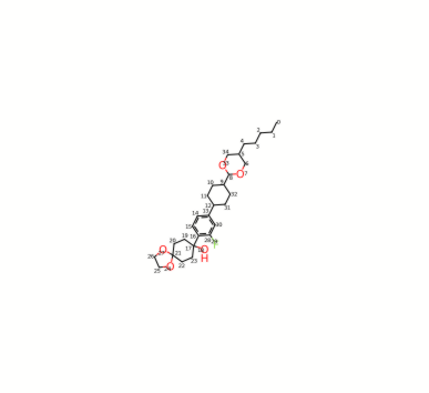 CCCCCC1COC(C2CCC(c3ccc(C4(O)CCC5(CC4)OCCO5)c(F)c3)CC2)OC1